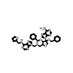 Nc1ncnc2c1ncn2C1(OCc2ccccc2)COC(CNCn2cnc3c(NCc4ccco4)ncnc32)C1OCc1ccccc1